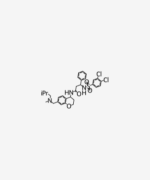 CC(C)CN(C)Cc1ccc2c(c1)OCCC2NC(=O)CC(NS(=O)(=O)c1ccc(Cl)c(Cl)c1)c1ccccc1